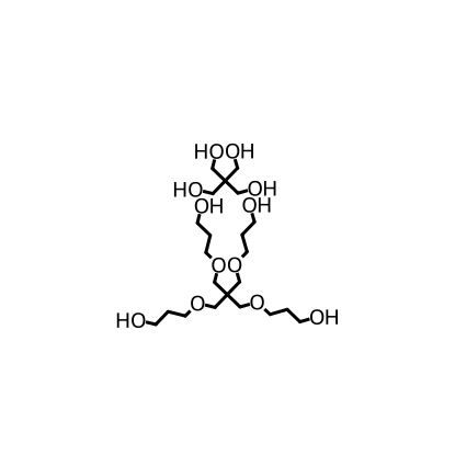 OCC(CO)(CO)CO.OCCCOCC(COCCCO)(COCCCO)COCCCO